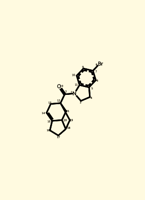 O=C(N1CCc2cc(Br)ccc21)C12CC=C3CCC(C1)C3C2